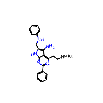 CC(=O)NCCc1nc(-c2ccccc2)nc2[nH]c(CNc3ccccc3)c(N)c12